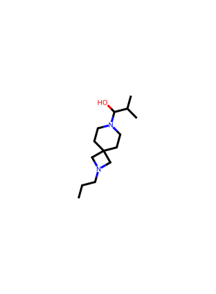 CCCN1CC2(CCN(C(O)C(C)C)CC2)C1